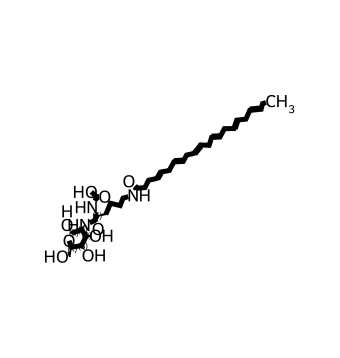 CCC=CCC=CCC=CCC=CCC=CCC=CCCC(=O)NCCCC[C@H](NC(=O)O)C(=O)N[C@@H]1[C@@H](O)[C@H](O)[C@@H](CO)O[C@H]1O